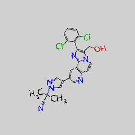 CC(C)(C#N)n1cc(-c2cnc3ccn4c(CO)c(-c5c(Cl)cccc5Cl)nc4c3c2)cn1